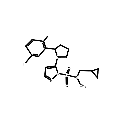 CN(CC1CC1)S(=O)(=O)n1nccc1N1CCCC1c1cc(F)ccc1F